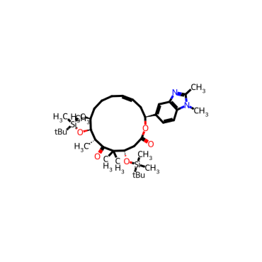 Cc1nc2cc([C@@H]3C/C=C\CCC[C@H](C)[C@H](O[Si](C)(C)C(C)(C)C)[C@@H](C)C(=O)C(C)(C)[C@@H](O[Si](C)(C)C(C)(C)C)CC(=O)O3)ccc2n1C